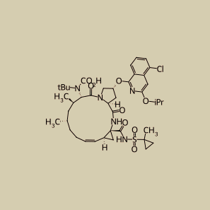 CC(C)Oc1cc2c(Cl)cccc2c(O[C@@H]2C[C@H]3C(=O)N[C@]4(C(=O)NS(=O)(=O)C5(C)CC5)C[C@H]4/C=C\CC[C@H](C)C[C@@H](C)[C@H](N(C(=O)O)C(C)(C)C)C(=O)N3C2)n1